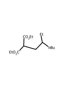 CCCCC(CC)CC(C(=O)OCC)C(=O)OCC